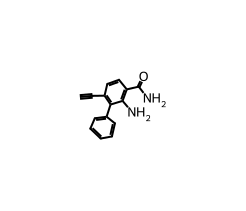 C#Cc1ccc(C(N)=O)c(N)c1-c1ccccc1